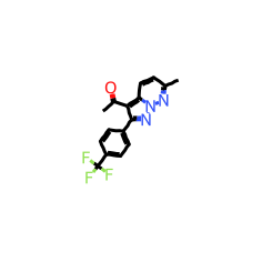 CC(=O)c1c(-c2ccc(C(F)(F)F)cc2)nn2nc(C)ccc12